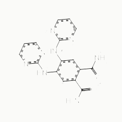 NC(=O)c1cc(Nc2ncccn2)c(Nc2ncccn2)cc1C(N)=O